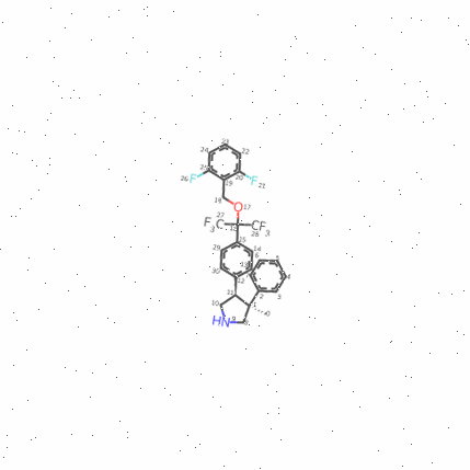 C[C@]1(c2ccccc2)CNC[C@H]1c1ccc(C(OCc2c(F)cccc2F)(C(F)(F)F)C(F)(F)F)cc1